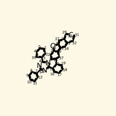 c1ccc(-c2nc(-c3ccccc3)nc(-c3ccccc3-c3ccc4oc5cc6ccccc6cc5c4c3)n2)cc1